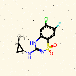 C[C@@H]1C[C@H]1NC1=NS(=O)(=O)c2cc(F)c(Cl)cc2N1